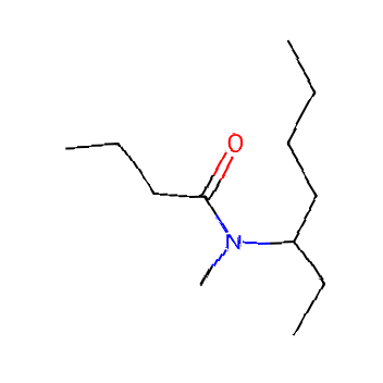 CCCCC(CC)N(C)C(=O)CCC